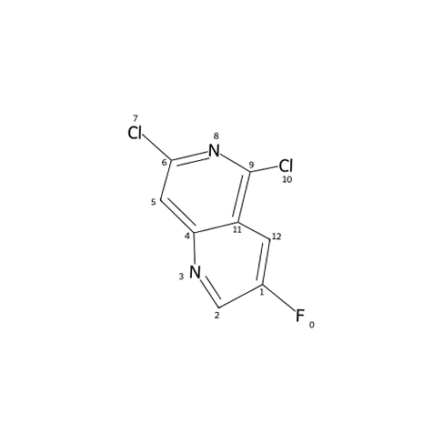 Fc1cnc2cc(Cl)nc(Cl)c2c1